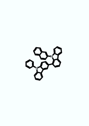 c1ccc(-n2c3ccccc3c3cc(-c4cccc5c6ccccc6n(-c6ccc7ccccc7c6)c45)ccc32)cc1